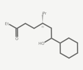 CCC(=O)CC[C@@H](CC(O)C1CCCCC1)C(C)C